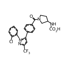 O=C(O)NC1CCN(C(=O)c2ccc(-c3cc(C(F)(F)F)nn3-c3ccccc3Cl)cc2)C1